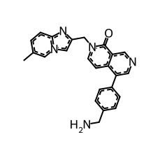 Cc1ccc2nc(Cn3ccc4c(-c5ccc(CN)cc5)cncc4c3=O)cn2c1